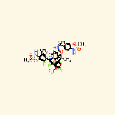 Cc1cc([C@@H](C)NC(=O)C2(C3(C(=O)N[C@H](C)c4ccc(NS(C)(=O)=O)cc4)CC3(C)c3cc(F)c(C(C)(C)C)c(F)c3)CC2(C)c2ccc(C(F)(F)F)c(F)c2)c(F)cc1NS(C)(=O)=O